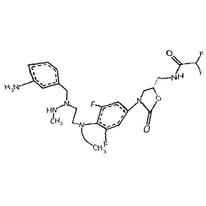 CCN(CCN(Cc1cccc(N)c1)NC)c1c(F)cc(N2C[C@H](CNC(=O)C(F)F)OC2=O)cc1F